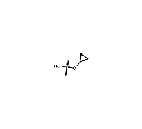 CP(=O)(O)OC1CC1